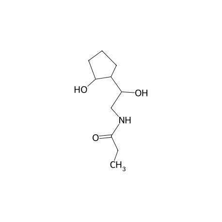 CCC(=O)NCC(O)C1CCCC1O